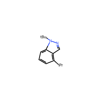 CC(C)c1cccc2c1cnn2C(C)(C)C